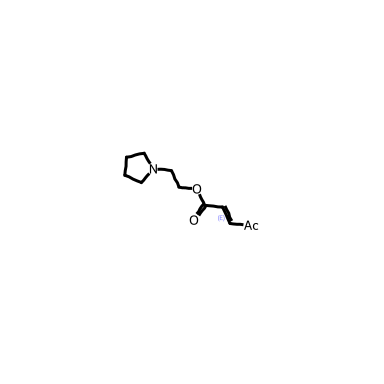 CC(=O)/C=C/C(=O)OCCN1CCCC1